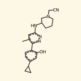 Cc1cc(NC2CCCN(CC#N)C2)nnc1-c1ccc(C2CC2)cc1O